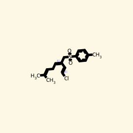 CC(C)=CC/C=C(\C=C\Cl)CS(=O)(=O)c1ccc(C)cc1